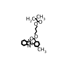 C=C(C)C(=O)OCCCCOC(=O)c1ccc(C)cc1-n1nc2ccccc2n1